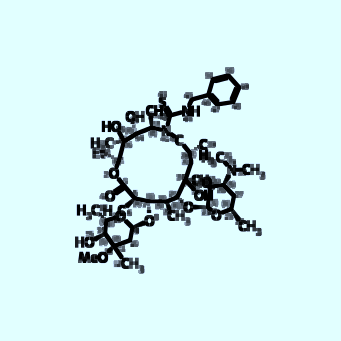 CC[C@H]1OC(=O)[C@H](C)[C@@H](O[C@H]2C[C@@](C)(OC)[C@@H](O)[C@H](C)O2)[C@H](C)[C@@H](O[C@@H]2O[C@H](C)C[C@H](N(C)C)[C@H]2O)[C@](C)(O)C[C@@H](C)CN(C(=S)NCc2ccccc2)[C@H](C)[C@@H](O)[C@]1(C)O